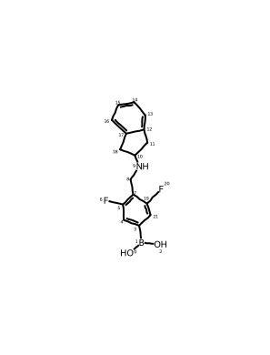 OB(O)c1cc(F)c(CNC2Cc3ccccc3C2)c(F)c1